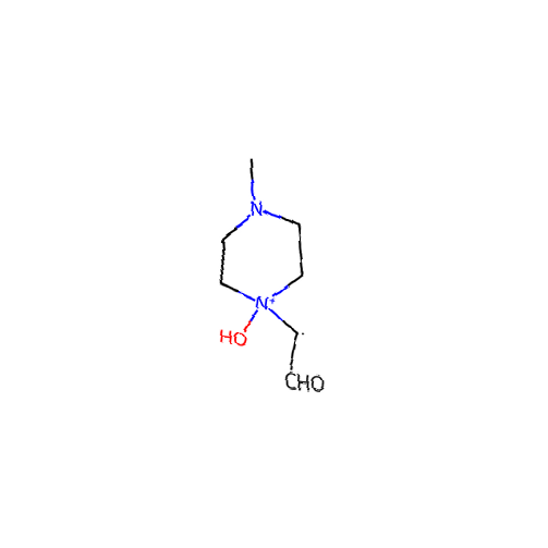 CN1CC[N+](O)([CH]C=O)CC1